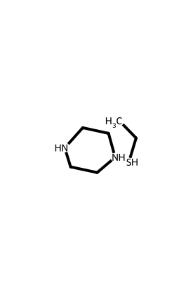 C1CNCCN1.CCS